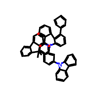 CC1(C)c2ccccc2-c2cccc(N(c3cccc(-n4c5ccccc5c5ccccc54)c3)c3cccc(-c4ccccc4)c3-c3ccccc3-c3ccccc3)c21